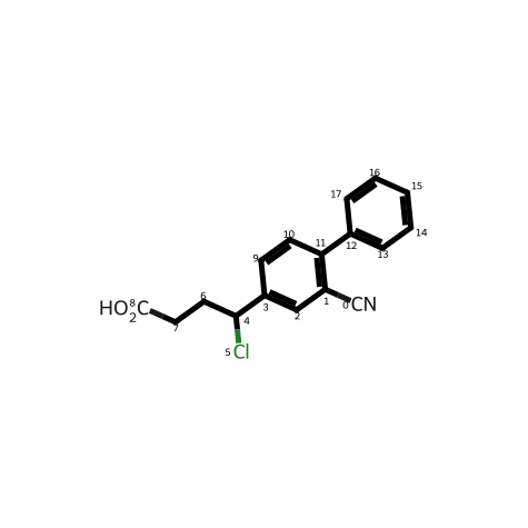 N#Cc1cc(C(Cl)CCC(=O)O)ccc1-c1ccccc1